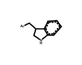 CC(=O)CC1CNc2ccccc21